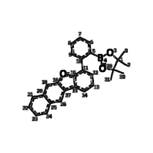 CC1(C)OB(c2ccccc2-c2cccc3c2oc2cc4ccccc4cc23)OC1(C)C